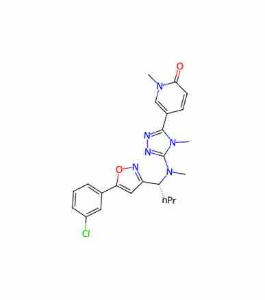 CCC[C@H](c1cc(-c2cccc(Cl)c2)on1)N(C)c1nnc(-c2ccc(=O)n(C)c2)n1C